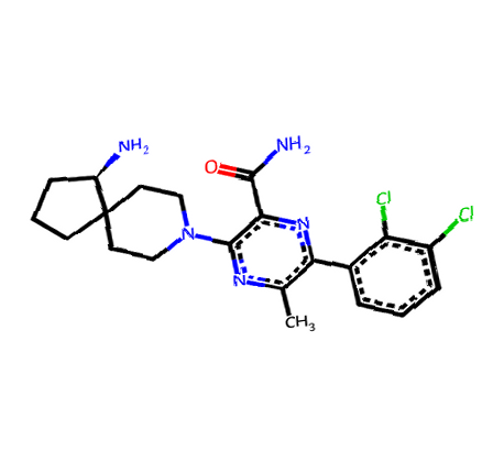 Cc1nc(N2CCC3(CCC[C@H]3N)CC2)c(C(N)=O)nc1-c1cccc(Cl)c1Cl